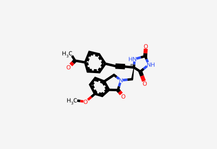 COc1ccc2c(c1)C(=O)N(C[C@@]1(C#Cc3ccc(C(C)=O)cc3)NC(=O)NC1=O)C2